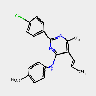 CC=Cc1c(Nc2ccc(C(=O)O)cc2)nc(-c2ccc(Cl)cc2)nc1C(F)(F)F